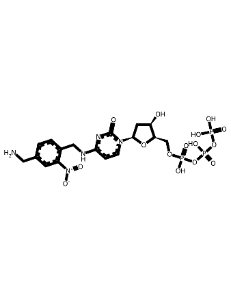 NCc1ccc(CNc2ccn([C@H]3C[C@@H](O)[C@@H](COP(=O)(O)OP(=O)(O)OP(=O)(O)O)O3)c(=O)n2)c([N+](=O)[O-])c1